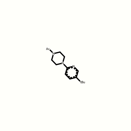 CC(=O)N1CCN(c2ccc(C(C)(C)C)cn2)CC1